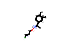 C/C(=N\OC/C=C/Cl)c1ccc(C)c(C)c1